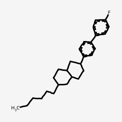 CCCCCCC1CCC2CC(c3ccc(-c4ccc(F)cc4)cc3)CCC2C1